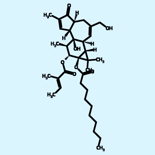 C/C=C(\C)C(=O)O[C@@H]1[C@@H](C)[C@]2(O)[C@@H]3C=C(C)C(=O)[C@H]3CC(CO)=C[C@H]2[C@@H]2C(C)(C)[C@]12OC(=O)CCCCCCCCC